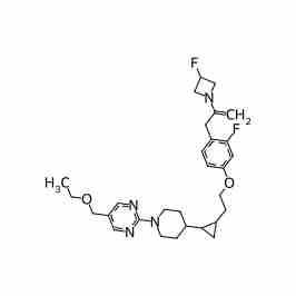 C=C(Cc1ccc(OCCC2CC2C2CCN(c3ncc(COCC)cn3)CC2)cc1F)N1CC(F)C1